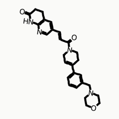 O=C1CCc2cc(C=CC(=O)N3CC=C(c4cccc(CN5CCOCC5)c4)CC3)cnc2N1